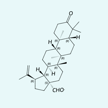 C=C(C)[C@@H]1CC[C@]2([C]=O)CC[C@]3(C)[C@H](CC[C@@H]4[C@@]5(C)CCC(=O)C(C)(C)[C@@H]5CC[C@]43C)[C@@H]12